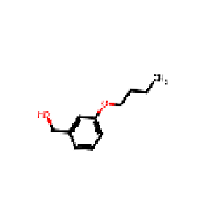 CCCCOc1cccc(CO)c1